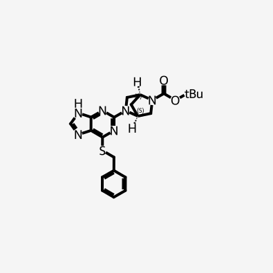 CC(C)(C)OC(=O)N1C[C@@H]2C[C@H]1CN2c1nc(SCc2ccccc2)c2nc[nH]c2n1